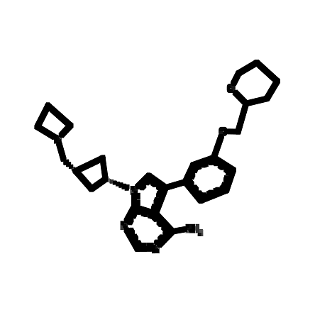 Nc1ncnc2c1c(-c1cccc(OCC3CCCCO3)c1)cn2[C@H]1C[C@@H](CN2CCC2)C1